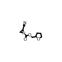 N#CC1CN1C(=O)OCC1CCCO1